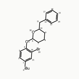 CCC(C)c1ccc(OC2CCCC(Cc3ccccc3)O2)c(Br)c1